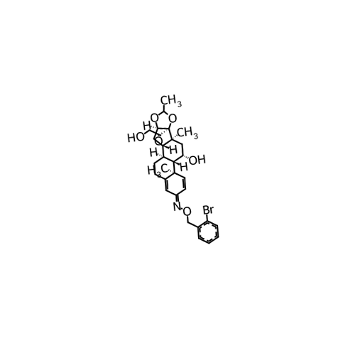 CC1O[C@@H]2C[C@H]3[C@@H]4CCC5=C/C(=N/OCc6ccccc6Br)C=C[C@]5(C)[C@H]4[C@@H](O)C[C@]3(C)[C@]2(C(=O)CO)O1